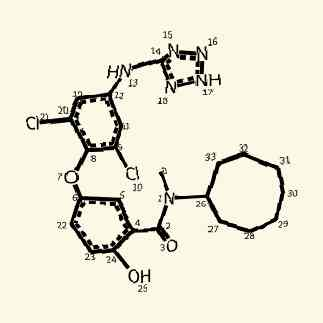 CN(C(=O)c1cc(Oc2c(Cl)cc(Nc3nn[nH]n3)cc2Cl)ccc1O)C1CCCCCCC1